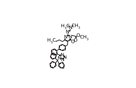 CCCCc1nc(N=CN(C)C)n(CC(=O)OC)c(=O)c1Cc1ccc(-c2ccccc2-c2nnnn2C(c2ccccc2)(c2ccccc2)c2ccccc2)cc1